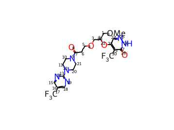 COC[C@H](COCCC(=O)N1CCN(c2ncc(C(F)(F)F)cn2)CC1)Oc1cn[nH]c(=O)c1C(F)(F)F